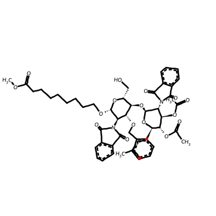 COC(=O)CCCCCCCCO[C@@H]1O[C@H](CO)[C@@H](O[C@@H]2O[C@H](COC(C)=O)[C@@H](OC(C)=O)[C@H](OC(C)=O)[C@H]2N2C(=O)c3ccccc3C2=O)[C@H](OCc2ccccc2)[C@H]1N1C(=O)c2ccccc2C1=O